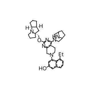 CCc1cccc2cc(O)cc(N3CCc4c(nc(OC[C@]56CCCN5[C@H]5CCC[C@H]5C6)nc4N4CC5CCC(C4)N5)C3)c12